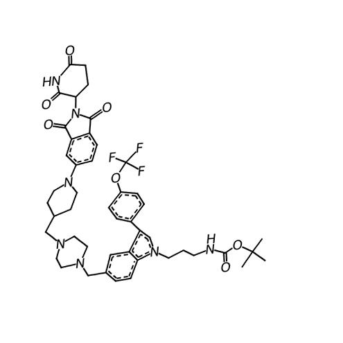 CC(C)(C)OC(=O)NCCCn1cc(-c2ccc(OC(F)(F)F)cc2)c2cc(CN3CCN(CC4CCN(c5ccc6c(c5)C(=O)N(C5CCC(=O)NC5=O)C6=O)CC4)CC3)ccc21